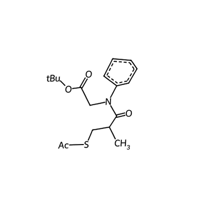 CC(=O)SCC(C)C(=O)N(CC(=O)OC(C)(C)C)c1ccccc1